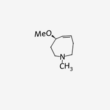 CO[C@H]1/C=C\CCN(C)CC1